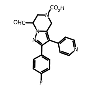 O=CC1CN(C(=O)O)Cc2c(-c3ccncc3)c(-c3ccc(F)cc3)nn21